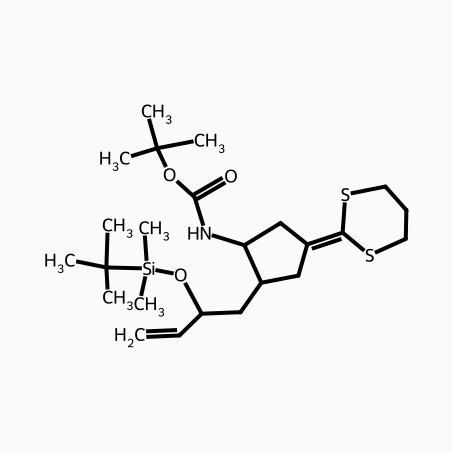 C=CC(CC1CC(=C2SCCCS2)CC1NC(=O)OC(C)(C)C)O[Si](C)(C)C(C)(C)C